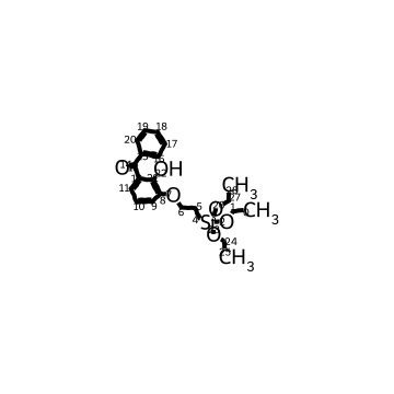 CCO[Si](CCCOc1cccc(C(=O)c2ccccc2)c1O)(OCC)OCC